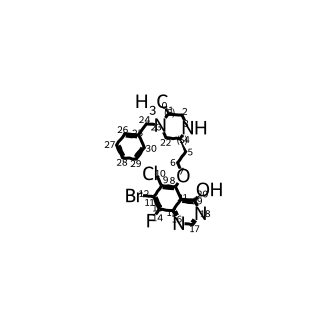 C[C@H]1CN[C@@H](CCOc2c(Cl)c(Br)c(F)c3ncnc(O)c23)CN1Cc1ccccc1